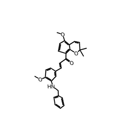 COc1ccc(/C=C/C(=O)c2ccc(OC)c3c2OC(C)(C)C=C3)cc1NCc1ccccc1